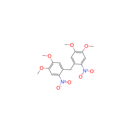 COc1cc([CH]c2cc(OC)c(OC)cc2[N+](=O)[O-])c([N+](=O)[O-])cc1OC